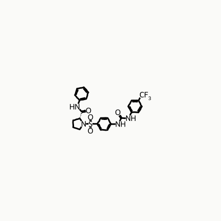 O=C(Nc1ccc(C(F)(F)F)cc1)Nc1ccc(S(=O)(=O)N2CCC[C@@H]2C(=O)Nc2ccccc2)cc1